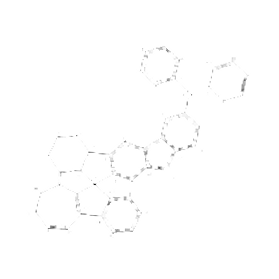 C1=CC[C@H](N(c2ccccc2)c2ccc3oc4cc5c(cc4c3c2)C2CCCCC2C52C3=C(C=CCCC3)c3ccccc32)C=C1